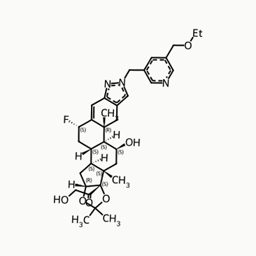 CCOCc1cncc(Cn2cc3c(n2)C=C2[C@@H](F)C[C@@H]4[C@H]([C@@H](O)C[C@@]5(C)[C@H]4C[C@H]4OC(C)(C)O[C@]45C(=O)CO)[C@@]2(C)C3)c1